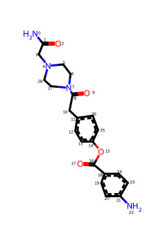 NC(=O)CN1CCN(C(=O)Cc2ccc(OC(=O)c3ccc(N)cc3)cc2)CC1